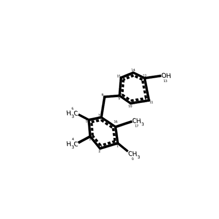 Cc1cc(C)c(C)c(Cc2ccc(O)cc2)c1C